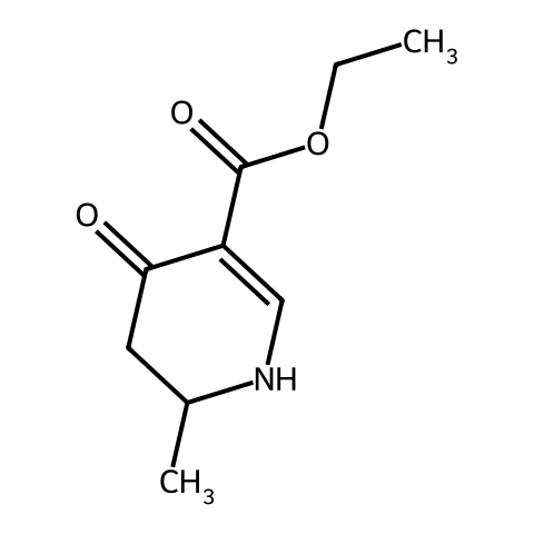 CCOC(=O)C1=CNC(C)CC1=O